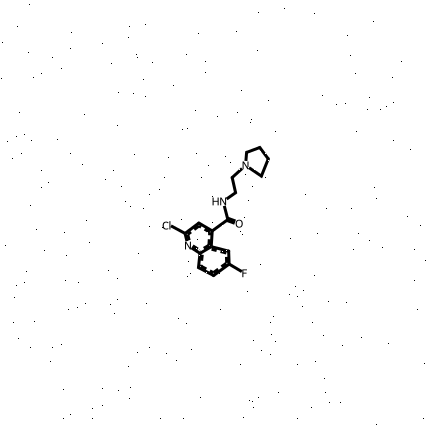 O=C(NCCN1CCCC1)c1cc(Cl)nc2ccc(F)cc12